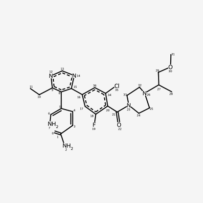 C=C(N)/C=C\C(=C/N)c1c(CC)ncnc1-c1cc(F)c(C(=O)N2CCN(C(C)COC)CC2)c(Cl)c1